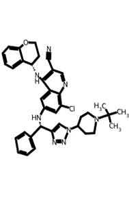 CC(C)(C)N1CCC(n2cc([C@@H](Nc3cc(Cl)c4ncc(C#N)c(N[C@H]5CCOc6ccccc65)c4c3)c3ccccc3)nn2)CC1